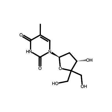 Cc1cn([C@H]2C[C@H](O)C(CO)(CO)O2)c(=O)[nH]c1=O